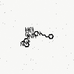 Cl.Cl.O=C(NCC1CCN(CCCCc2ccccc2)CC1)C1=Cc2cnc3cccc(n23)S1